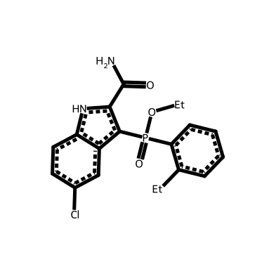 CCOP(=O)(c1ccccc1CC)c1c(C(N)=O)[nH]c2ccc(Cl)cc12